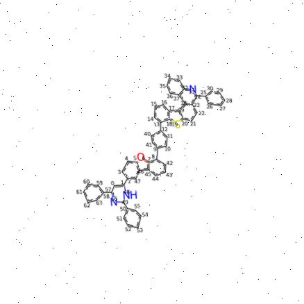 C1=C(c2ccc3oc4c(-c5ccc(-c6cccc7c6sc6ccc8c(-c9ccccc9)nc9ccccc9c8c67)cc5)cccc4c3c2)NC(c2ccccc2)N=C1c1ccccc1